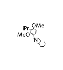 COc1ccc(CN2CC3CCCCC3C2)c(OC)c1C(C)C